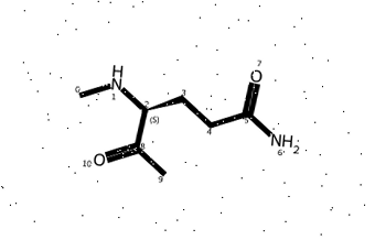 CN[C@@H](CCC(N)=O)C(C)=O